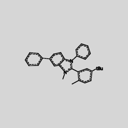 Cc1ccc(C(C)(C)C)cc1-c1n(-c2ccccc2)c2ccc(-c3ccccc3)cc2[n+]1C